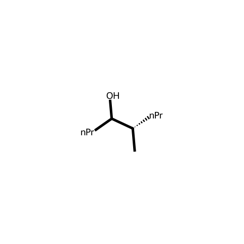 CCCC(O)[C@@H](C)CCC